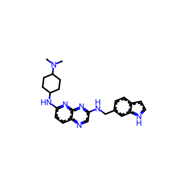 CN(C)C1CCC(Nc2ccc3ncc(NCc4ccc5cc[nH]c5c4)nc3n2)CC1